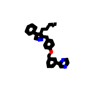 O=C(O)CCc1c(-c2ccccc2)c[nH]c1Cc1ccc(OCc2cccc(-c3cnccn3)c2)cc1